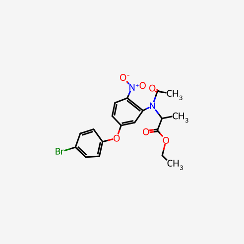 CCOC(=O)C(C)N(C(C)=O)c1cc(Oc2ccc(Br)cc2)ccc1[N+](=O)[O-]